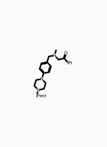 CCCC(C)N1CCN(c2ccc(CN(C)CC(=O)C(C)C)cc2)CC1